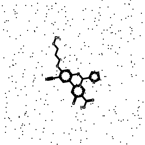 COCCCOc1cc2c(cc1C#N)-c1cc(=O)c(C(=O)O)cn1C(c1cscn1)O2